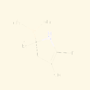 CCCP(CCC)C1(CC)CC(C)=C(CC)N1